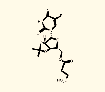 CC1(C)OC2[C@@H](COC(=O)CCC(=O)O)O[C@@H](n3cc(F)c(=O)[nH]c3=O)[C@H]2O1